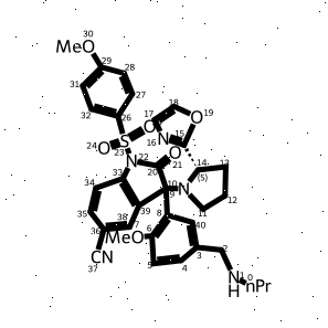 CCCNCc1ccc(OC)c(C2(N3CCC[C@H]3c3ncco3)C(=O)N(S(=O)(=O)c3ccc(OC)cc3)c3ccc(C#N)cc32)c1